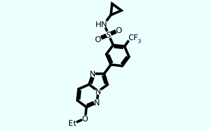 CCOc1ccc2nc(-c3ccc(C(F)(F)F)c(S(=O)(=O)NC4CC4)c3)cn2n1